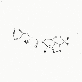 N[C@@H](CC(=O)N1C[C@@H]2C[C@H]1c1nnc(C(F)(F)F)n12)Cc1ccccc1